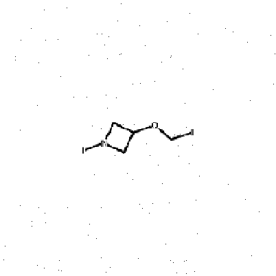 ICOC1CN(I)C1